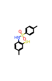 Cc1ccc(S(=O)(=O)Nc2ccc(C)cc2S)cc1